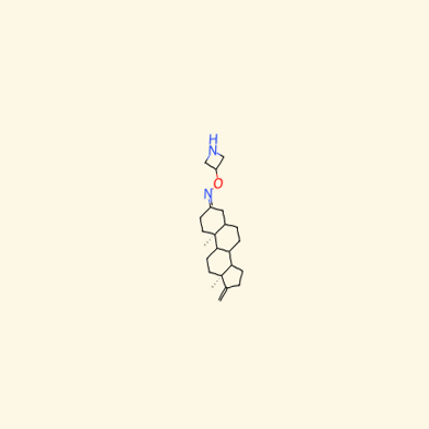 C=C1CCC2C3CCC4CC(=NOC5CNC5)CC[C@]4(C)C3CC[C@]12C